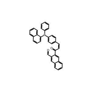 O=Cc1cc2ccccc2cc1C(=O)/C=C\c1ccc(N(c2ccccc2)c2cccc3ccccc23)cc1